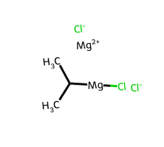 C[CH](C)[Mg][Cl].[Cl-].[Cl-].[Mg+2]